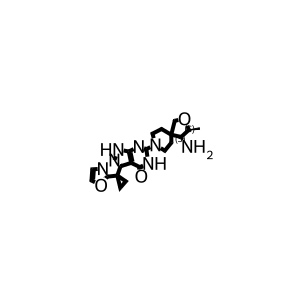 C[C@@H]1OCC2(CCN(c3nc4[nH]nc(C5(c6ncco6)CC5)c4c(=O)[nH]3)CC2)[C@@H]1N